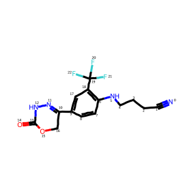 N#CCCCNc1ccc(C2=NNC(=O)OC2)cc1C(F)(F)F